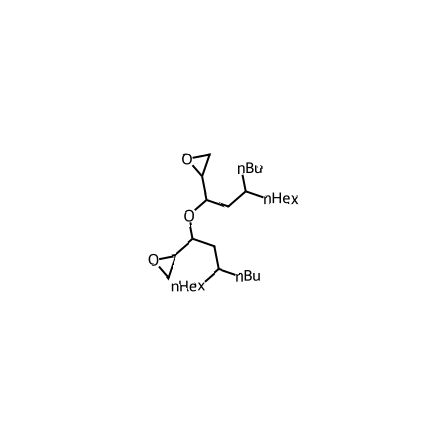 CCCCCCC(CCCC)CC(OC(CC(CCCC)CCCCCC)C1CO1)C1CO1